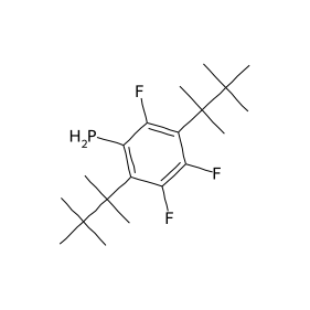 CC(C)(C)C(C)(C)c1c(F)c(F)c(C(C)(C)C(C)(C)C)c(P)c1F